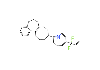 C=CC(F)(F)C1=C/CC/C(C2CCCC3=C(CCCc4ccccc43)CC2)=N/C=C\1